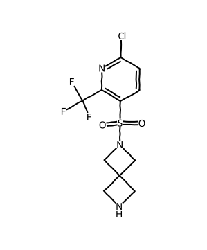 O=S(=O)(c1ccc(Cl)nc1C(F)(F)F)N1CC2(CNC2)C1